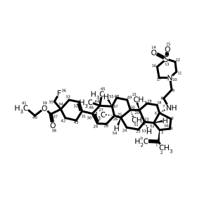 C=C(C)[C@@H]1CC[C@]2(NCCN3CCS(=O)(=O)CC3)CC[C@]3(C)[C@H](CC[C@@H]4[C@@]5(C)CC=C(C6=CCC(CF)(C(=O)OCC)CC6)C(C)(C)[C@@H]5CC[C@]43C)[C@@H]12